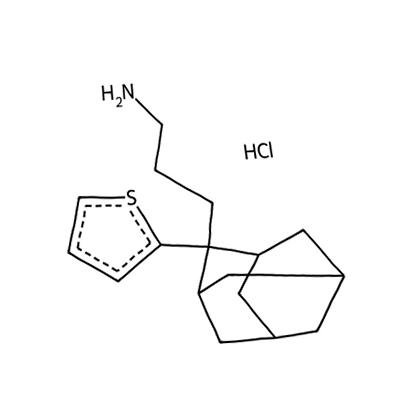 Cl.NCCCC1(c2cccs2)C2CC3CC(C2)CC1C3